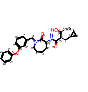 CCCC[C@H](O)[C@@H](CC1CC1)C(=O)N[C@H]1CCCCN(Cc2cccc(Oc3ccccc3)c2)C1=O